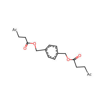 CC(=O)CCC(=O)OCc1ccc(COC(=O)CCC(C)=O)cc1